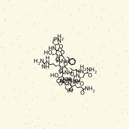 CN[C@H](C(=O)N[C@@H](CCC(N)=O)C(=O)N[C@@H](CCC(N)=O)C(=O)N[C@@H](CC(C)C)C(=O)N[C@H](C(=O)N[C@@H](CCCCN)C(=O)N[C@@H](CCCNC(=N)N)C(=O)N[C@@H](Cc1ccccc1)C(=O)N[C@@H](CO)C(=O)N[C@@H](CC(C)C)C(N)=O)[C@@H](C)O)C(C)C